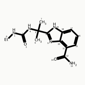 CCNC(=O)NC(C)(C)c1nc2c(C(N)=O)cccc2[nH]1